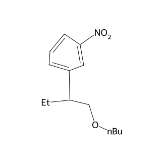 CCCCOCC(CC)c1cccc([N+](=O)[O-])c1